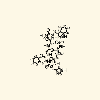 CC(=O)NCC(=O)NCC(=O)N[C@@H](Cc1c[nH]cn1)C(=O)N[C@H](Cc1ccccc1)C(=O)NCC(=O)NCC(=O)N[C@@H](Cc1c[nH]c2ccccc12)C(N)=O